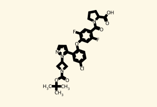 CC(C)(C)OC(=O)N1CC(n2nccc2-c2cc(Cl)ccc2Oc2cc(F)c(C(=O)N3CCCC3C(=O)O)cc2F)C1